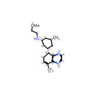 COCCN[C@@H]1C[C@H](C)C[C@H](C2CC=C(C(F)(F)F)c3nccnc32)C1